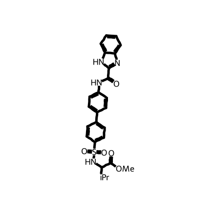 COC(=O)C(NS(=O)(=O)c1ccc(-c2ccc(NC(=O)c3nc4ccccc4[nH]3)cc2)cc1)C(C)C